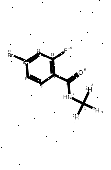 [2H]C([2H])([2H])NC(=O)c1ccc(Br)cc1F